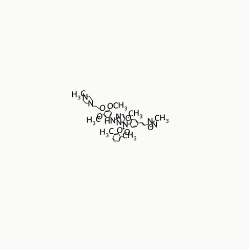 COc1cc(/C=C/c2nc(C)no2)ccc1N(C(=O)Oc1c(C)cccc1C)c1ccnc(Nc2cc(OC)c(OCCCN3CCN(C)CC3)c(OC)c2)n1